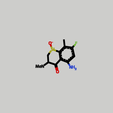 CNC1C[S+]([O-])c2c(C)c(F)cc(N)c2C1=O